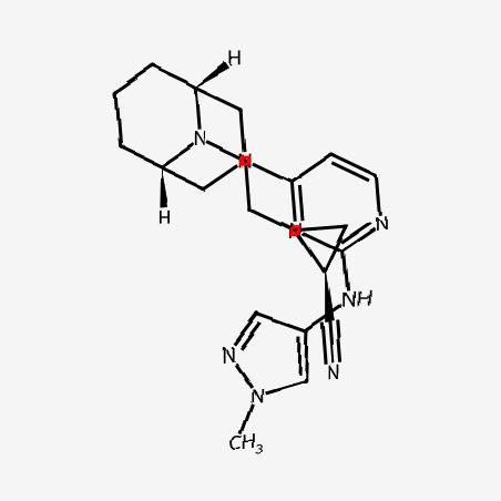 Cn1cc(Nc2nccc(N3C[C@H]4CCC[C@@H](C3)N4CCC3C[C@H]3C#N)n2)cn1